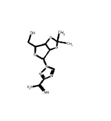 CC1(C)OC2C(CO)OC(n3cnc(C(=N)N)n3)C2O1